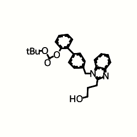 CC(C)(C)OC(=O)Oc1ccccc1-c1ccc(Cn2c(CCCO)nc3ccccc32)cc1